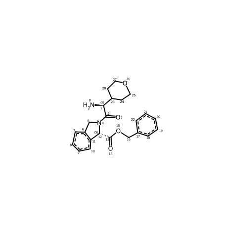 N[C@H](C(=O)N1Cc2ccccc2[C@H]1C(=O)OCc1ccccc1)C1CCOCC1